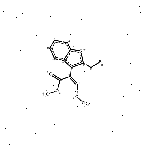 COC=C(C(=O)OC)c1c(CBr)sc2ccccc12